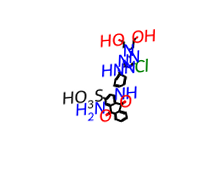 Nc1c(S(=O)(=O)O)cc(Nc2ccc(Nc3nc(Cl)nc(N(CCO)CCO)n3)cc2)c2c1C(=O)c1ccccc1C2=O